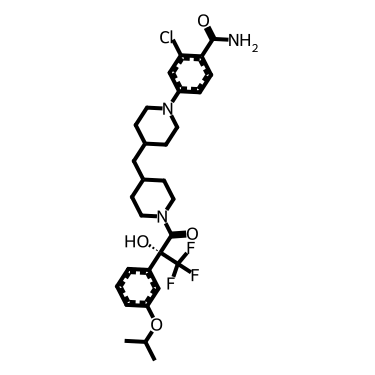 CC(C)Oc1cccc([C@@](O)(C(=O)N2CCC(CC3CCN(c4ccc(C(N)=O)c(Cl)c4)CC3)CC2)C(F)(F)F)c1